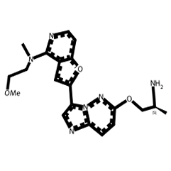 COCCN(C)c1nccc2oc(-c3cnc4ccc(OC[C@H](C)N)nn34)cc12